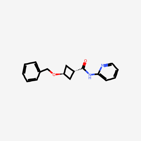 O=C(Nc1ccccn1)[C@H]1C[C@H](OCc2ccccc2)C1